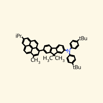 Cc1cc(-c2ccc3c(c2)C(C)(C)c2cc(N(c4ccc(C(C)(C)C)cc4)c4ccc(C(C)(C)C)cc4)ccc2-3)c2ccc3cc(C(C)C)cc4ccc1c2c43